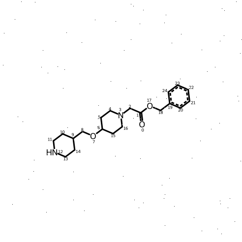 O=C(CN1CCC(OCC2CCNCC2)CC1)OCc1ccccc1